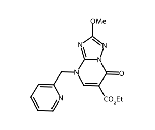 CCOC(=O)c1cn(Cc2ccccn2)c2nc(OC)nn2c1=O